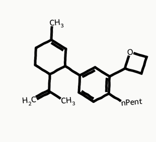 C=C(C)C1CCC(C)=CC1c1ccc(CCCCC)c(C2CCO2)c1